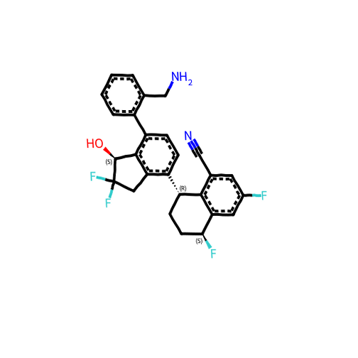 N#Cc1cc(F)cc2c1[C@@H](c1ccc(-c3ccccc3CN)c3c1CC(F)(F)[C@H]3O)CC[C@@H]2F